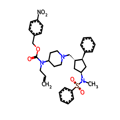 C=CCN(C(=O)OCc1ccc([N+](=O)[O-])cc1)C1CCN(C[C@H]2C[C@H](N(C)S(=O)(=O)c3ccccc3)C[C@@H]2c2ccccc2)CC1